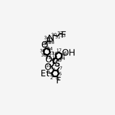 CCc1cc(F)cc(C)c1C(=O)c1sc2cc(O)ccc2c1Oc1ccc(OC2CN(CCCF)C2)cc1